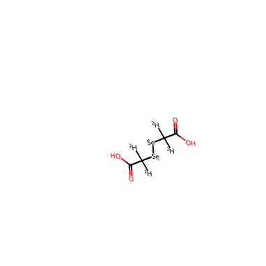 [2H]C([2H])([Se][Se]C([2H])([2H])C(=O)O)C(=O)O